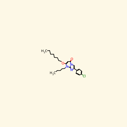 CCCCCCCCOc1cc(=O)n2cc(-c3ccc(Cl)cc3)nc2n1CCCCC